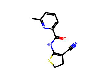 Cc1cccc(C(=O)NC2=C(C#N)CCS2)n1